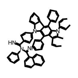 C/C=C\C(=C/C)n1c(C)c(/C=C\C)c2c(-c3ccccc3)c3c(c(-c4ccccc4)c21)c1ccccc1n3-c1ccc(C(=N)N(C(=N)c2cccc3ccccc23)c2ccccc2)cc1